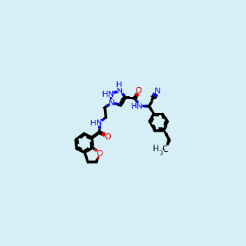 CCc1ccc(C(C#N)NC(=O)C2=CN(CCNC(=O)c3cccc4c3OCC4)NN2)cc1